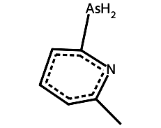 Cc1cccc([AsH2])n1